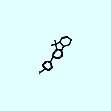 CC1(C)c2cc(-c3ccc(I)cc3)ccc2C2CCC=CC21